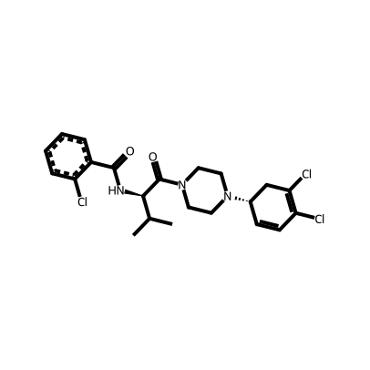 CC(C)[C@@H](NC(=O)c1ccccc1Cl)C(=O)N1CCN([C@H]2C=CC(Cl)=C(Cl)C2)CC1